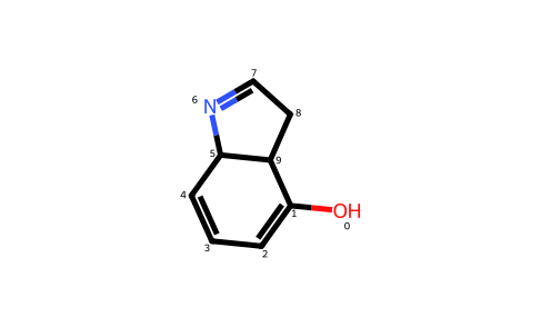 OC1=CC=CC2N=CCC12